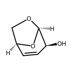 O[C@H]1C=C[C@H]2CO[C@@H]1O2